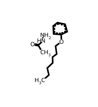 CC(=O)NN.CCCCCCCOc1ccccc1